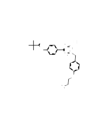 CC(C)(C)C(=O)Oc1ccc(-c2nnn(Cc3ccc(OCCN)cc3)n2)cc1.Cl